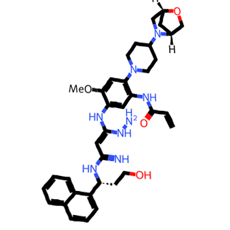 C=CC(=O)Nc1cc(N/C(=C/C(=N)N[C@H](CCO)c2cccc3ccccc23)NN)c(OC)cc1N1CCC(N2C[C@H]3C[C@@H]2CO3)CC1